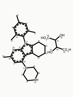 Cc1cc(C)c(-n2c3c(c4c(N5CCNCC5)cc(C)nc42)CCCC3)c(C)c1.O=C(O)C(O)C(O)C(=O)O